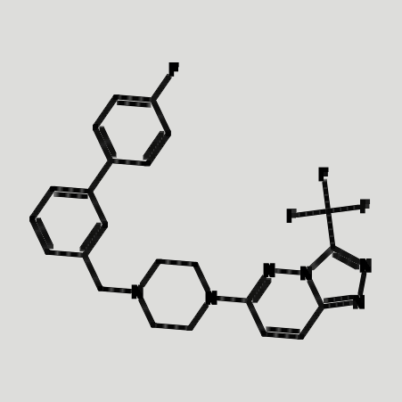 Fc1ccc(-c2cccc(CN3CCN(c4ccc5nnc(C(F)(F)F)n5n4)CC3)c2)cc1